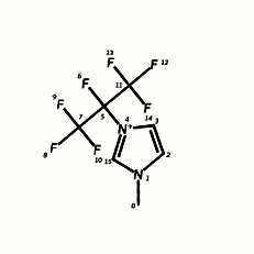 Cn1cc[n+](C(F)(C(F)(F)F)C(F)(F)F)c1